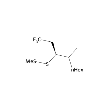 CCCCCCC(C)[C@H](CC(F)(F)F)SSC